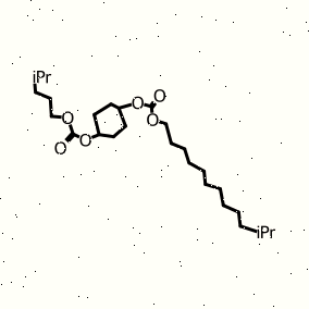 CC(C)CCCCCCCCCCOC(=O)OC1CCC(OC(=O)OCCCC(C)C)CC1